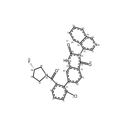 O=C(c1cccc(Cl)c1-c1ccc2c(=O)n(-c3cncc4ccccc34)c(=O)[nH]c2c1)N1CC[C@H](F)C1